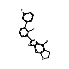 Fc1cccc(-c2cccc(-c3nc4cc5c(c(F)c4o3)CCS5)c2F)c1